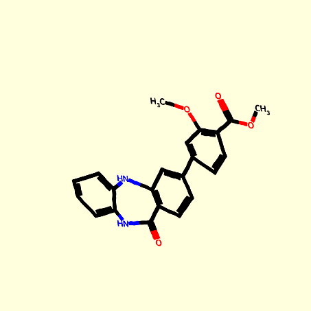 COC(=O)c1ccc(-c2ccc3c(c2)Nc2ccccc2NC3=O)cc1OC